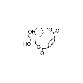 O=C1OCC2CCC(CC2)COC(=O)c2ccc1cc2.OCCO